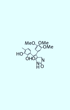 COc1cc(-c2c(-c3ccc(C)c(O)c3O)oc3[nH]c(=O)ncc23)cc(OC)c1OC